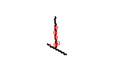 CCCCCCCCC(CCCCCC)COC(=O)CCCOCCOCCOCCCCCCC